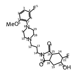 COc1ccc(F)cc1N1CCN(CCCN2C(=O)C3CC(O)C(F)CC3C2=O)CC1